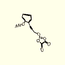 COc1ccccc1C#CCOn1oc(=O)c(=O)o1